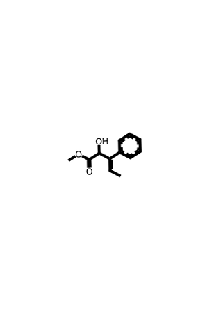 C/C=C(\c1ccccc1)C(O)C(=O)OC